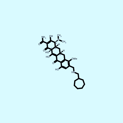 COc1c(CNCC2CCCCCC2)cc(O)c2c1C[C@H]1C[C@H]3[C@H](N(C)C)C(O)=C(C(N)=O)C(=O)[C@@]3(O)C(O)=C1C2=O